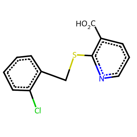 O=C(O)c1cccnc1SCc1ccccc1Cl